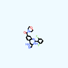 O=C(c1ccc2c(c1)N=C(c1c(F)cccc1F)Nc1cn[nH]c1-2)N1CCOCC1